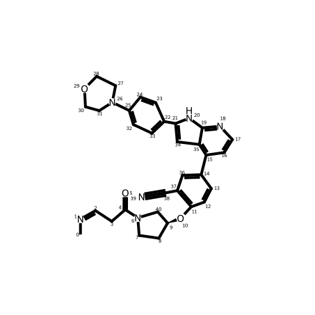 C/N=C\CC(=O)N1CC[C@H](Oc2ccc(-c3ccnc4[nH]c(-c5ccc(N6CCOCC6)cc5)cc34)cc2C#N)C1